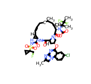 Cc1cn2c(n1)nc(O[C@@H]1C[C@H]3C(=O)N[C@]4(C(=O)NS(=O)(=O)C5(CF)CC5)C[C@H]4/C=C\CC[C@@H](C)C[C@@H](C)[C@H](N(C(=O)O)C(C)(C)C(C)(F)F)C(=O)N3C1)c1cc(Cl)ccc12